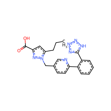 CCCc1cc(C(=O)O)nn1Cc1ccc(-c2ccccc2-c2nnn[nH]2)nc1